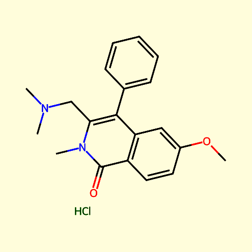 COc1ccc2c(=O)n(C)c(CN(C)C)c(-c3ccccc3)c2c1.Cl